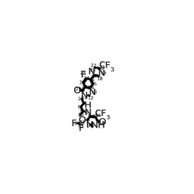 O=c1[nH]ncc(NC(CCCn2cnc3cc(-c4cnc(C(F)(F)F)cn4)c(F)cc3c2=O)COC(F)F)c1C(F)(F)F